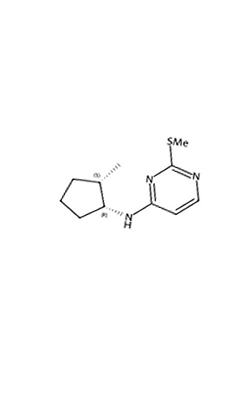 CSc1nccc(N[C@@H]2CCC[C@@H]2C)n1